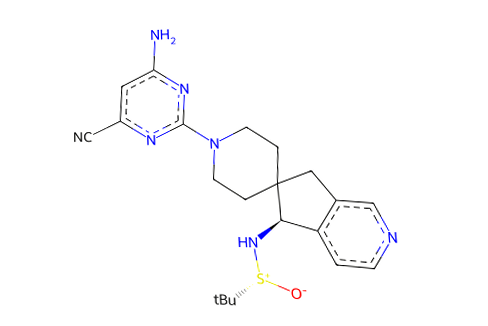 CC(C)(C)[S@@+]([O-])N[C@@H]1c2ccncc2CC12CCN(c1nc(N)cc(C#N)n1)CC2